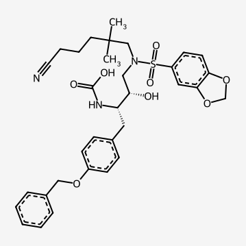 CC(C)(CCCC#N)CN(C[C@H](O)[C@H](Cc1ccc(OCc2ccccc2)cc1)NC(=O)O)S(=O)(=O)c1ccc2c(c1)OCO2